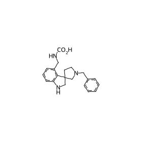 O=C(O)NCc1cccc2c1C1(CCN(Cc3ccccc3)C1)CN2